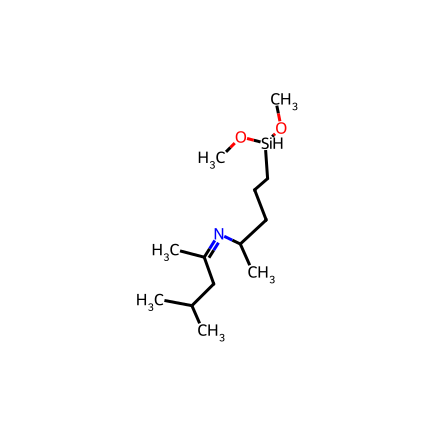 CO[SiH](CCCC(C)N=C(C)CC(C)C)OC